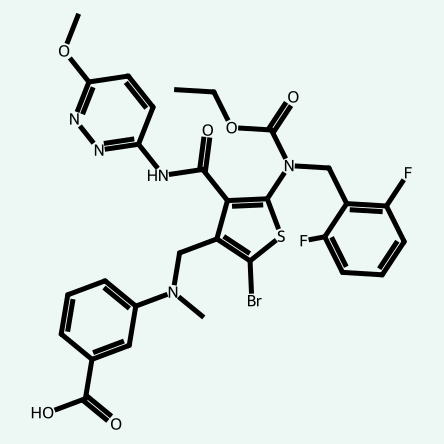 CCOC(=O)N(Cc1c(F)cccc1F)c1sc(Br)c(CN(C)c2cccc(C(=O)O)c2)c1C(=O)Nc1ccc(OC)nn1